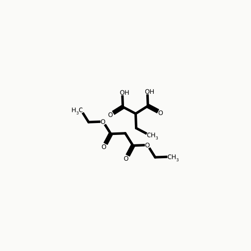 CCC(C(=O)O)C(=O)O.CCOC(=O)CC(=O)OCC